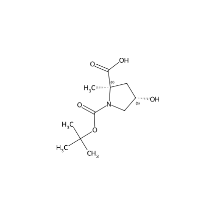 CC(C)(C)OC(=O)N1C[C@@H](O)C[C@]1(C)C(=O)O